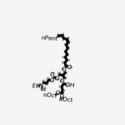 CCCCC/C=C\C/C=C\CCCCCCCC(=O)OCC(COC(=O)OCCCN(CC)CC)COC(O)CCC(OCCCCCCCC)OCCCCCCCC